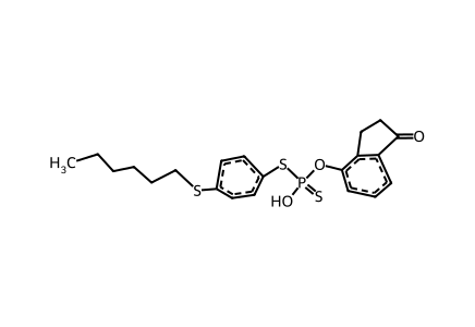 CCCCCCSc1ccc(SP(O)(=S)Oc2cccc3c2CCC3=O)cc1